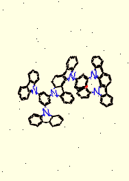 C1=CC2c3ccccc3N(c3cc(N4c5ccccc5C5=c6c(c7ccccc7n6-c6cccc(-n7c8ccccc8c8ccc9c%10ccccc%10n(-c%10ccccc%10)c9c87)c6)=CCC54)cc(-n4c5ccccc5c5ccccc54)c3)C2C=C1